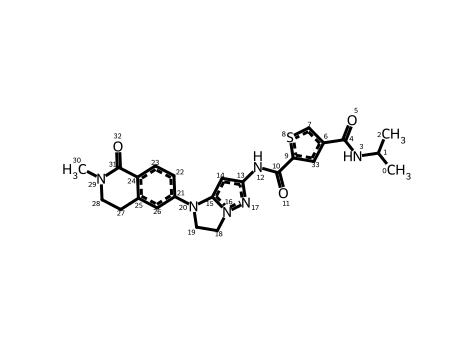 CC(C)NC(=O)c1csc(C(=O)Nc2cc3n(n2)CCN3c2ccc3c(c2)CCN(C)C3=O)c1